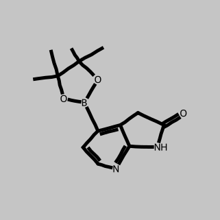 CC1(C)OB(c2ccnc3c2CC(=O)N3)OC1(C)C